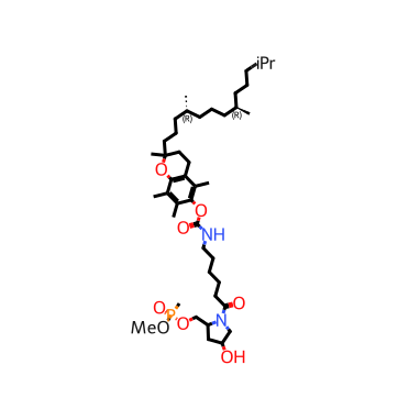 COP(C)(=O)OCC1CC(O)CN1C(=O)CCCCCNC(=O)Oc1c(C)c(C)c2c(c1C)CCC(C)(CCC[C@H](C)CCC[C@H](C)CCCC(C)C)O2